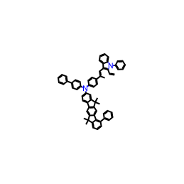 C=Cc1c(/C=C(\C)c2ccc(N(c3ccc(-c4ccccc4)cc3)c3ccc4c(c3)C(C)(C)c3cc5c(cc3-4)C(C)(C)c3cccc(-c4ccccc4)c3-5)cc2)c2ccccc2n1-c1ccccc1